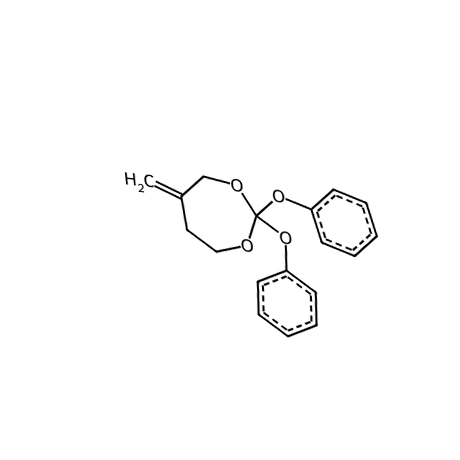 C=C1CCOC(Oc2ccccc2)(Oc2ccccc2)OC1